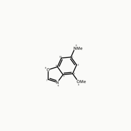 CNc1cc(OC)c2ncoc2c1